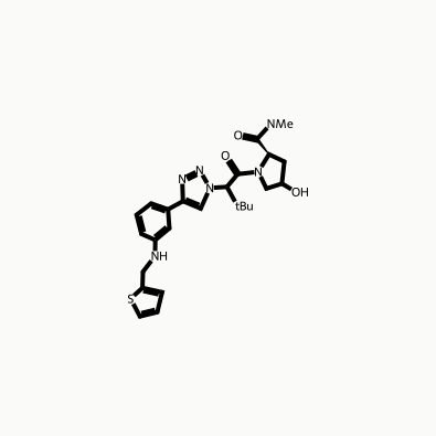 CNC(=O)[C@H]1CC(O)CN1C(=O)C(n1cc(-c2cccc(NCc3cccs3)c2)nn1)C(C)(C)C